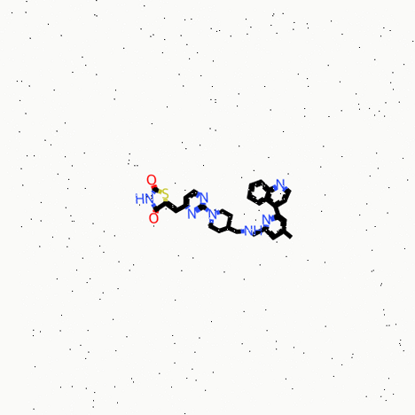 Cc1cc(CNCC2CCN(c3nccc(/C=C4\SC(=O)NC4=O)n3)CC2)nc(-c2ccnc3ccccc23)c1